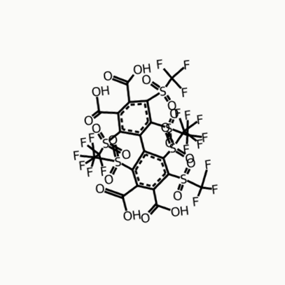 O=C(O)c1c(C(=O)O)c(S(=O)(=O)C(F)(F)F)c(S(=O)(=O)C(F)(F)F)c(-c2c(S(=O)(=O)C(F)(F)F)c(C(=O)O)c(C(=O)O)c(S(=O)(=O)C(F)(F)F)c2S(=O)(=O)C(F)(F)F)c1S(=O)(=O)C(F)(F)F